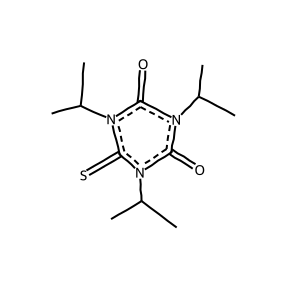 CC(C)n1c(=O)n(C(C)C)c(=S)n(C(C)C)c1=O